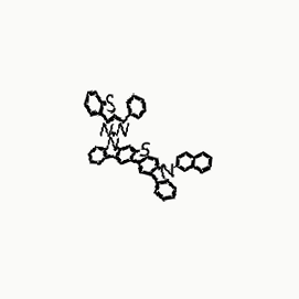 c1ccc(-c2nc(-n3c4ccccc4c4cc5c(cc43)sc3cc4c(cc35)c3ccccc3n4-c3ccc4ccccc4c3)nc3c2sc2ccccc23)cc1